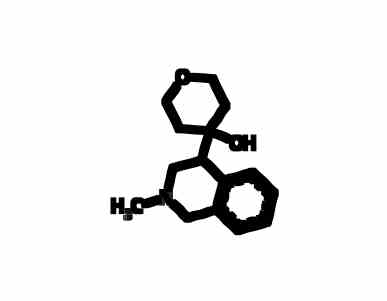 CN1Cc2ccccc2C(C2(O)CCOCC2)C1